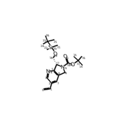 C=Cc1cnc2c(c1)CN(C(=O)OC(C)(C)C)[C@H]2CO[Si](C)(C)C(C)(C)C